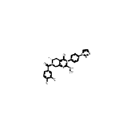 CC(C)Nc1nc2c(c(=O)n1-c1ccc(-n3ccnn3)cc1)C[C@@H](C)N(C(=O)c1ccc(Cl)c(Cl)c1)C2